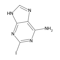 Nc1nc(I)nc2[nH]cnc12